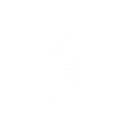 CC1(C)CC2CCCNc3cccc(n3)SNC(=O)c3ccc(N4CCN(CC5CCC(C(F)(F)F)CC5)C4=O)nc3N1C2